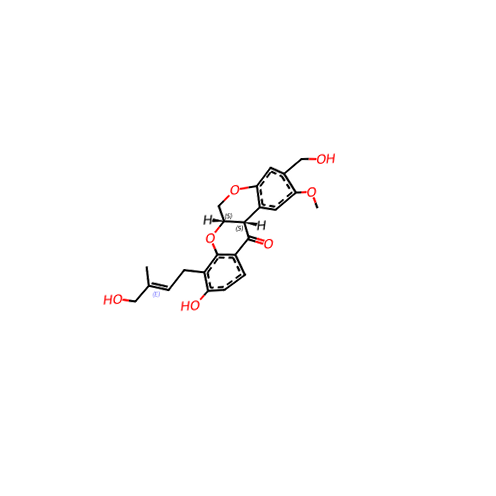 COc1cc2c(cc1CO)OC[C@H]1Oc3c(ccc(O)c3C/C=C(\C)CO)C(=O)[C@@H]21